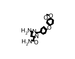 NC(=O)c1cc(N)nc(-c2ccc(Oc3ccc4c(c3)OCO4)cc2)n1